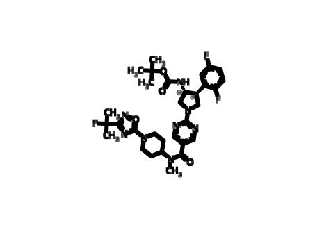 CN(C(=O)c1cnc(N2C[C@H](NC(=O)OC(C)(C)C)[C@@H](c3cc(F)ccc3F)C2)nc1)C1CCN(c2nc(C(C)(C)F)no2)CC1